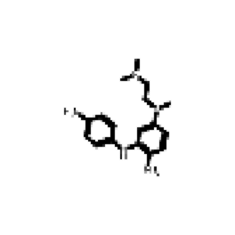 CN(C)CCN(C)c1ccc(N)c(Nc2ccc(N)cc2)c1